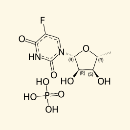 C[C@H]1O[C@@H](n2cc(F)c(=O)[nH]c2=O)[C@H](O)[C@@H]1O.O=P(O)(O)O